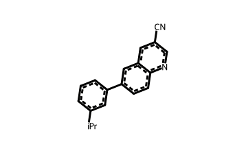 CC(C)c1cccc(-c2ccc3ncc(C#N)cc3c2)c1